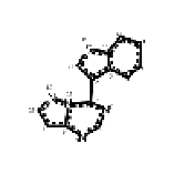 c1ccc2c(-c3ncnc4ccnn34)csc2c1